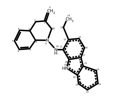 C=C1CC2C=CC=CC2N(Nc2c(CC)ccc3c2[nH]c2ccccc23)C1